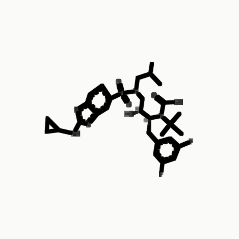 CC(C)CN(C[C@@H](O)[C@H](Cc1cc(F)cc(F)c1)N(C(=O)O)C(C)(C)C)S(=O)(=O)c1ccc2nc(NC3CC3)sc2c1